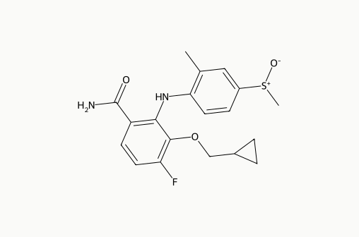 Cc1cc([S+](C)[O-])ccc1Nc1c(C(N)=O)ccc(F)c1OCC1CC1